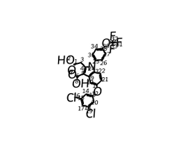 O=C(O)Cc1c(C(=O)O)c2cc(Oc3cc(Cl)cc(Cl)c3)ccc2n1-c1ccc(OC(F)(F)F)cc1